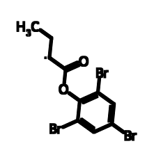 CC[CH]C(=O)Oc1c(Br)cc(Br)cc1Br